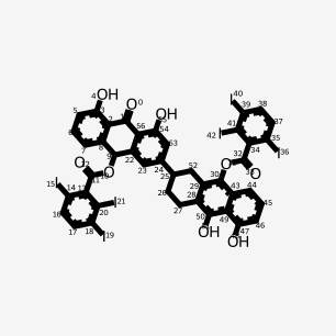 O=C1c2c(O)cccc2C(OC(=O)c2c(I)ccc(I)c2I)c2cc(C3CCc4c(c(OC(=O)c5c(I)ccc(I)c5I)c5cccc(O)c5c4O)C3)cc(O)c21